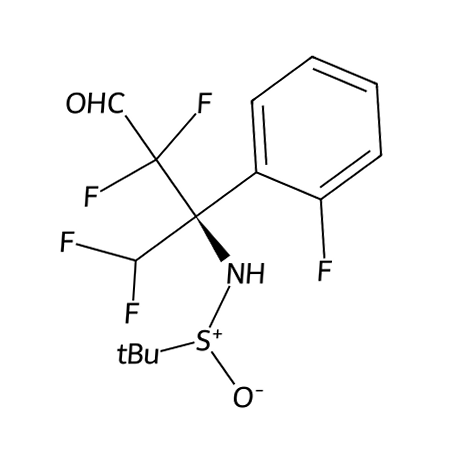 CC(C)(C)[S+]([O-])N[C@@](c1ccccc1F)(C(F)F)C(F)(F)C=O